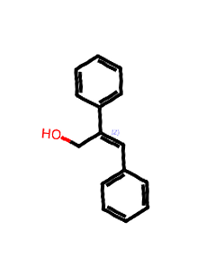 OC/C(=C\c1ccccc1)c1ccccc1